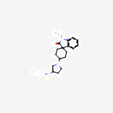 CCOC(=O)NC1CCN(C2CCC3(CC2)C(=O)N(C=O)c2ccccc23)C1